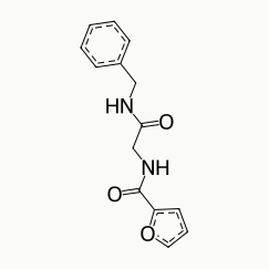 O=C(CNC(=O)c1ccco1)NCc1ccccc1